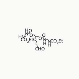 CCOC(=O)NCNC(=O)OCC(COC(=O)NCNC(=O)OCC)OCCCC=O